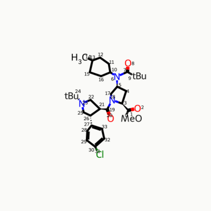 COC(=O)[C@@H]1C[C@H](N(C(=O)C(C)(C)C)C2CCC(C)CC2)CN1C(=O)[C@@H]1CN(C(C)(C)C)C[C@H]1c1ccc(Cl)cc1